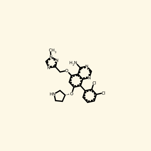 Cn1cnc(COc2cc(O[C@@H]3CCNC3)c(-c3cccc(Cl)c3Cl)c3ncnc(N)c23)n1